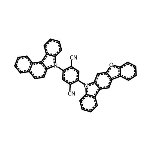 N#Cc1cc(-n2c3ccccc3c3c4ccccc4ccc32)c(C#N)cc1-n1c2ccccc2c2cc3c(cc21)oc1ccccc13